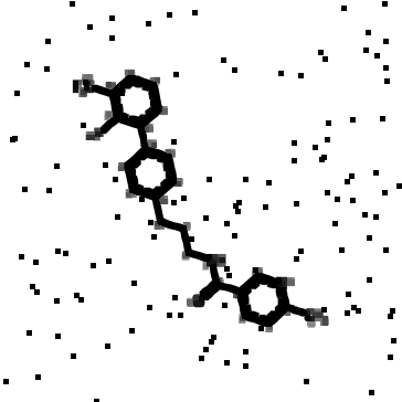 Cc1ccc(C(=O)NCCCc2ccc(-c3cccc(C(F)(F)F)c3F)cc2)cn1